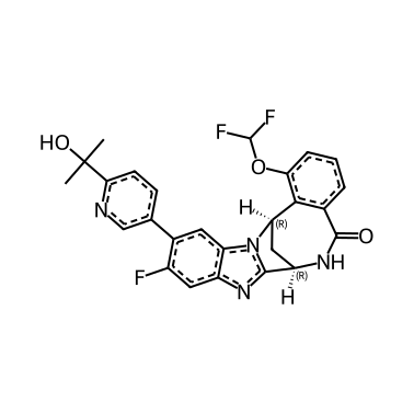 CC(C)(O)c1ccc(-c2cc3c(cc2F)nc2n3[C@@H]3C[C@H]2NC(=O)c2cccc(OC(F)F)c23)cn1